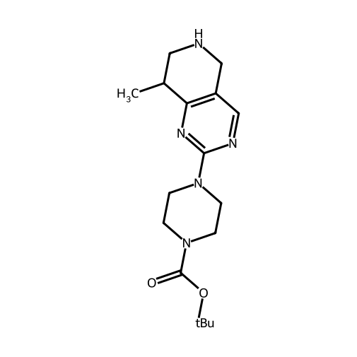 CC1CNCc2cnc(N3CCN(C(=O)OC(C)(C)C)CC3)nc21